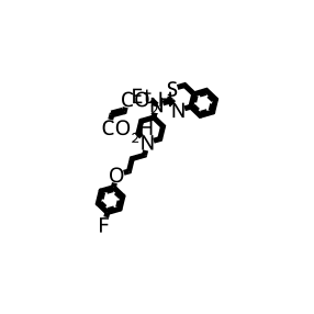 CCN(C1=Nc2ccccc2CS1)C1CCN(CCCOc2ccc(F)cc2)CC1.O=C(O)C=CC(=O)O